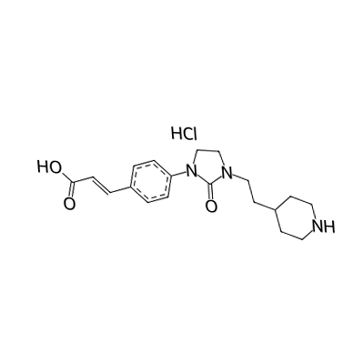 Cl.O=C(O)C=Cc1ccc(N2CCN(CCC3CCNCC3)C2=O)cc1